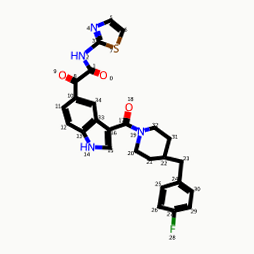 O=C(Nc1nccs1)C(=O)c1ccc2[nH]cc(C(=O)N3CCC(Cc4ccc(F)cc4)CC3)c2c1